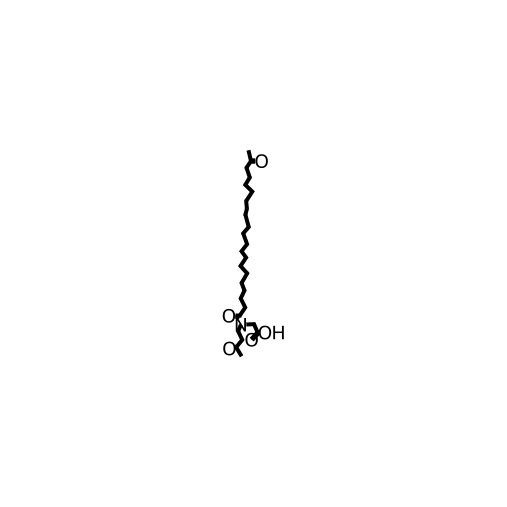 CC(=O)CCCCCCCCCCCCCCCCCCC(=O)N(CCC(C)=O)CC(=O)O